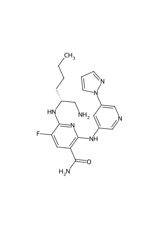 CCCC[C@H](CN)Nc1nc(Nc2cncc(-n3cccn3)c2)c(C(N)=O)cc1F